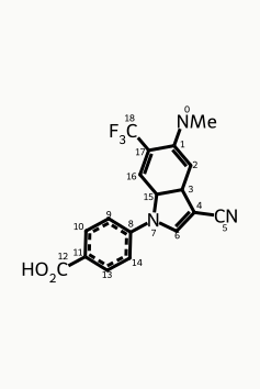 CNC1=CC2C(C#N)=CN(c3ccc(C(=O)O)cc3)C2C=C1C(F)(F)F